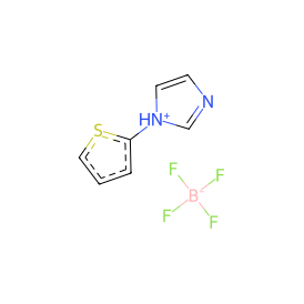 C1=C[NH+](c2cccs2)C=N1.F[B-](F)(F)F